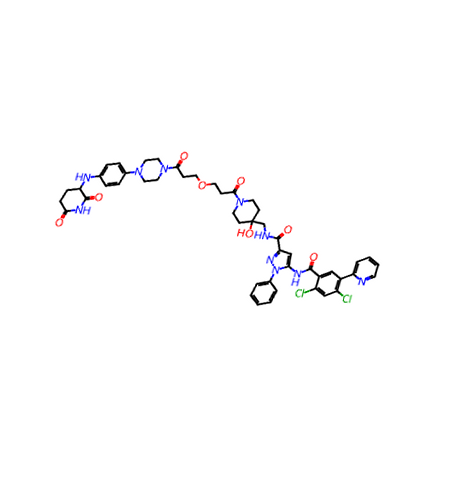 O=C1CCC(Nc2ccc(N3CCN(C(=O)CCOCCC(=O)N4CCC(O)(CNC(=O)c5cc(NC(=O)c6cc(-c7ccccn7)c(Cl)cc6Cl)n(-c6ccccc6)n5)CC4)CC3)cc2)C(=O)N1